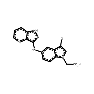 O=C(O)Cn1nc(Cl)c2cc(Nc3n[nH]c4cccnc34)ccc21